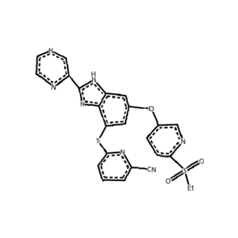 CCS(=O)(=O)c1ccc(Oc2cc(Sc3cccc(C#N)n3)c3nc(-c4cnccn4)[nH]c3c2)cn1